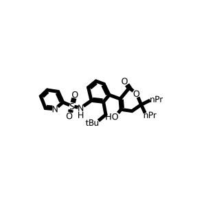 CCCC1(CCC)CC(O)=C(c2cccc(NS(=O)(=O)c3ccccn3)c2CC(C)(C)C)C(=O)O1